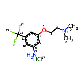 CN(C)CCOc1cc(N)cc(C(F)(F)F)c1.Cl